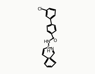 O=C(N[SH]1C=Cc2ccccc2C=N1)c1ccc(-c2cccc(Cl)c2)cc1